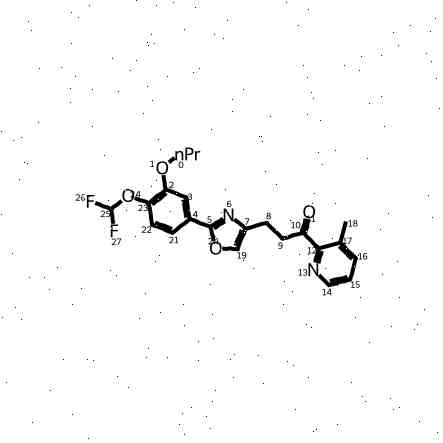 CCCOc1cc(-c2nc(CCC(=O)c3ncccc3C)co2)ccc1OC(F)F